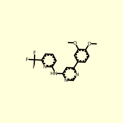 COc1ccc(-c2cc(Nc3cccc(C(F)(F)F)n3)ncn2)cc1OC